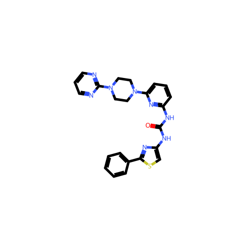 O=C(Nc1cccc(N2CCN(c3ncccn3)CC2)n1)Nc1csc(-c2ccccc2)n1